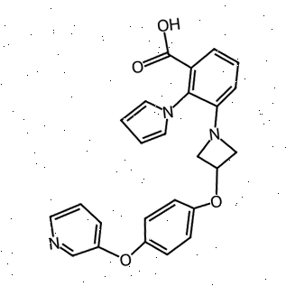 O=C(O)c1cccc(N2CC(Oc3ccc(Oc4cccnc4)cc3)C2)c1-n1cccc1